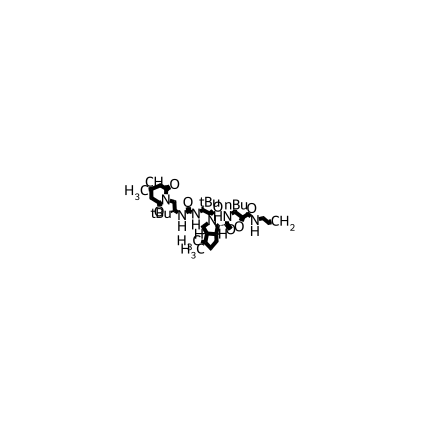 C=CCNC(=O)C(=O)C(CCCC)NC(=O)[C@@H]1[C@H]2CCC(C)(C)[C@H]2CN1C(=O)[C@@H](NC(=O)N[C@H](CN1C(=O)CC(C)(C)CC1=O)C(C)(C)C)C(C)(C)C